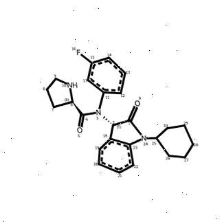 O=C1[C@@H](N(C(=O)[C@H]2CCCN2)c2cccc(F)c2)c2ccccc2N1C1CCCCC1